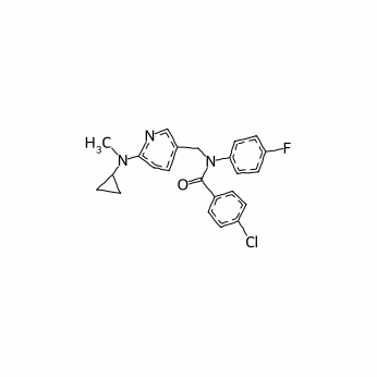 CN(c1ccc(CN(C(=O)c2ccc(Cl)cc2)c2ccc(F)cc2)cn1)C1CC1